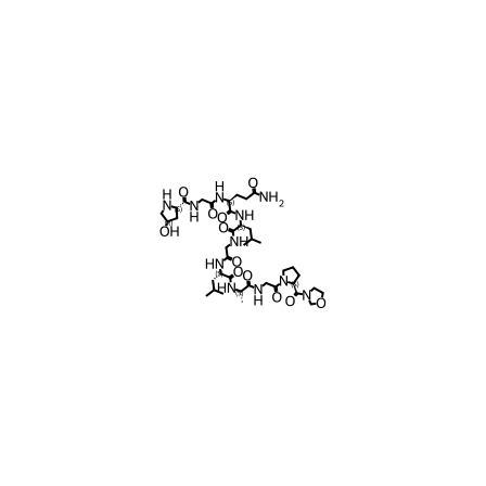 CC(C)C[C@H](NC(=O)CNC(=O)[C@H](CC(C)C)NC(=O)[C@H](CCC(N)=O)NC(=O)CNC(=O)[C@@H]1C[C@@H](O)CN1)C(=O)N[C@@H](C)C(=O)NCC(=O)N1CCC[C@H]1C(=O)N1CCOC1